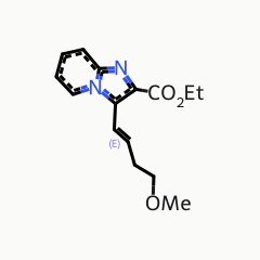 CCOC(=O)c1nc2ccccn2c1/C=C/CCOC